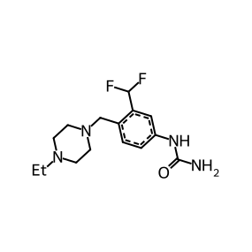 CCN1CCN(Cc2ccc(NC(N)=O)cc2C(F)F)CC1